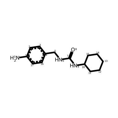 Nc1ccc(CNC(=O)NC2CCCCC2)cc1